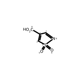 O=C(O)C1=CS(=O)(=O)N=C1